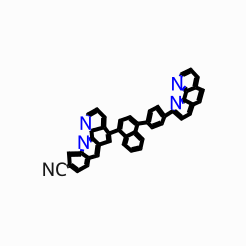 N#Cc1ccc2cc3cc(-c4ccc(-c5ccc(-c6ccc7ccc8cccnc8c7n6)cc5)c5ccccc45)c4cccnc4c3nc2c1